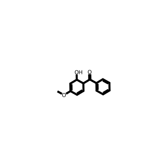 COC1=CC(O)C(C(=O)c2ccccc2)C=C1